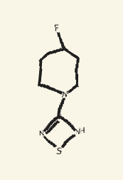 FC1CCN(c2ns[nH]2)CC1